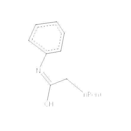 CCCCCC/C(C)=N\c1ccccc1